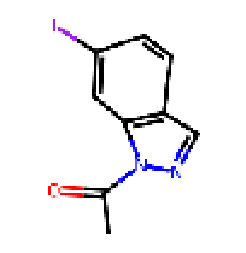 CC(=O)n1ncc2ccc(I)cc21